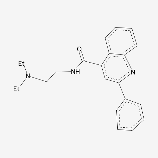 CCN(CC)CCNC(=O)c1cc(-c2ccccc2)nc2ccccc12